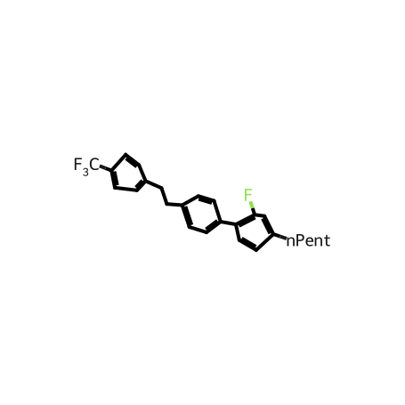 CCCCCc1ccc(-c2ccc(CCc3ccc(C(F)(F)F)cc3)cc2)c(F)c1